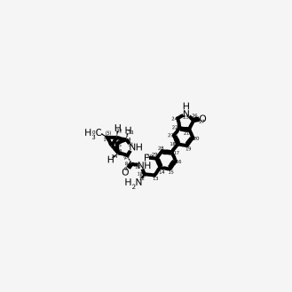 C[C@H]1C2[C@@H]1[C@@H]1C[C@H]2[C@@H](C(=O)N[C@H](N)Cc2ccc(-c3ccc4c(c3)CNC4=O)cc2F)N1